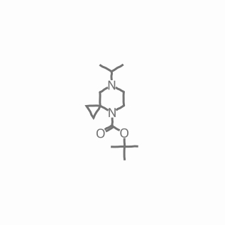 CC(C)N1CCN(C(=O)OC(C)(C)C)C2(CC2)C1